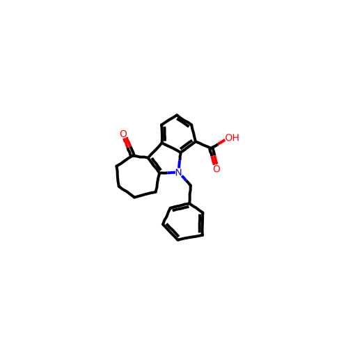 O=C1CCCCc2c1c1cccc(C(=O)O)c1n2Cc1ccccc1